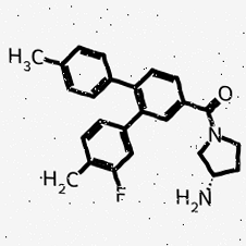 [CH2]c1ccc(-c2cc(C(=O)N3CC[C@H](N)C3)ccc2-c2ccc(C)cc2)cc1F